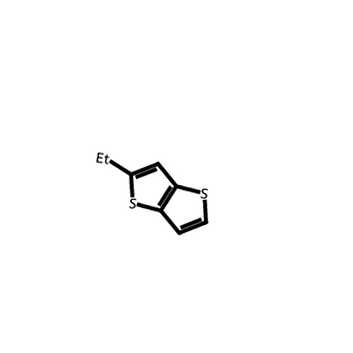 CCc1cc2sccc2s1